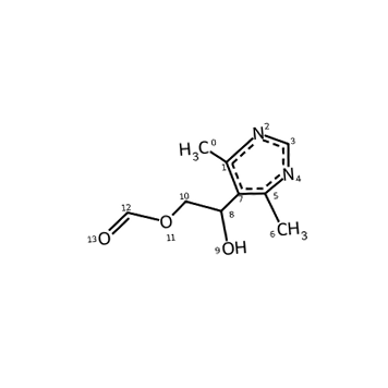 Cc1ncnc(C)c1C(O)COC=O